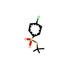 CC(C)(C)SS(=O)(=O)c1ccc(Cl)cc1